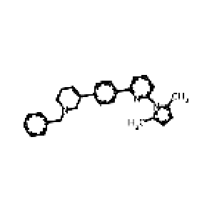 Cc1ccc(C)n1-c1cccc(-c2ccc(C3=CCCN(Cc4ccccc4)C3)cc2)n1